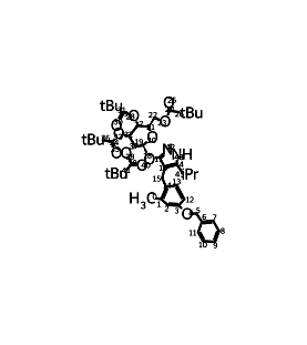 Cc1cc(OCc2ccccc2)ccc1Cc1c(O[C@@H]2O[C@H](COC(=O)C(C)(C)C)[C@@H](OC(=O)C(C)(C)C)[C@H](OC(=O)C(C)(C)C)[C@H]2OC(=O)C(C)(C)C)n[nH]c1C(C)C